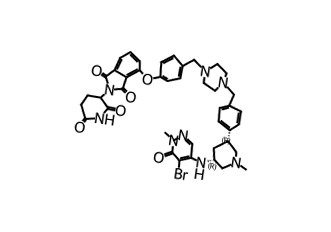 CN1C[C@H](Nc2cnn(C)c(=O)c2Br)C[C@H](c2ccc(CN3CCN(Cc4ccc(Oc5cccc6c5C(=O)N(C5CCC(=O)NC5=O)C6=O)cc4)CC3)cc2)C1